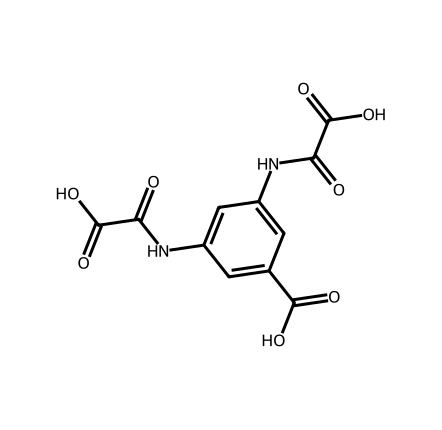 O=C(O)C(=O)Nc1cc(NC(=O)C(=O)O)cc(C(=O)O)c1